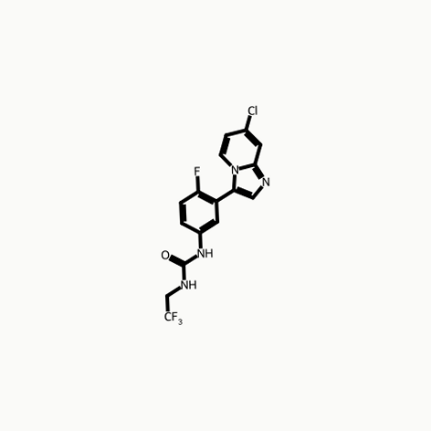 O=C(NCC(F)(F)F)Nc1ccc(F)c(-c2cnc3cc(Cl)ccn23)c1